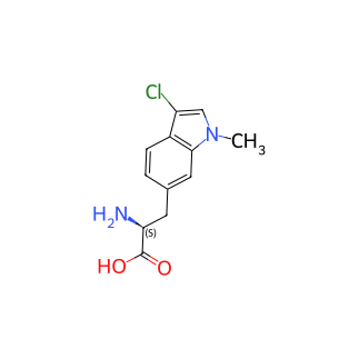 Cn1cc(Cl)c2ccc(C[C@H](N)C(=O)O)cc21